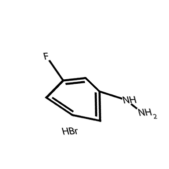 Br.NNc1cccc(F)c1